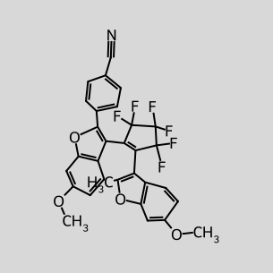 COc1ccc2c(C3=C(c4c(-c5ccc(C#N)cc5)oc5cc(OC)ccc45)C(F)(F)C(F)(F)C3(F)F)c(C)oc2c1